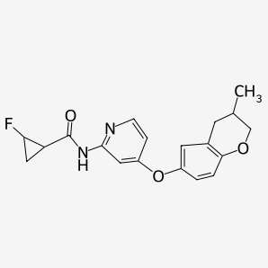 CC1COc2ccc(Oc3ccnc(NC(=O)C4CC4F)c3)cc2C1